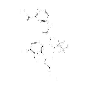 COCCOc1c([C@@H]2[C@@H](C(=O)Nc3ccnc(C(N)=O)n3)O[C@](C)(C(F)(F)F)[C@@H]2C)ccc(F)c1C